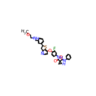 COCCNCc1cccc(C2Cc3nccc(Oc4ccc(NC(=O)C5(C(=O)Nc6ccccc6)CC5)cc4F)c3S2)c1